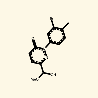 COC(O)c1ccc(=O)n(-c2ccc(C)c(Br)c2)n1